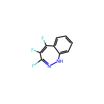 FC1=NNc2ccccc2C(F)=C1F